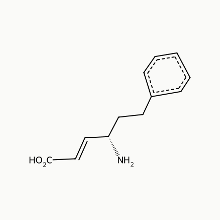 N[C@H](/C=C/C(=O)O)CCc1ccccc1